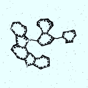 c1ccc(-c2ccc(-n3c4cccnc4c4ccc5sc6ccccc6c5c43)c3ccccc23)cc1